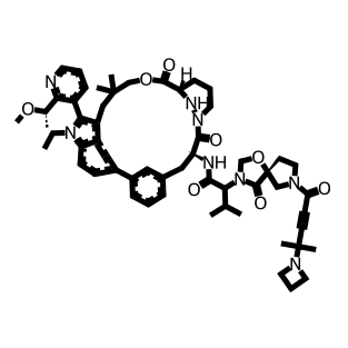 CCn1c(-c2cccnc2[C@H](C)OC)c2c3cc(ccc31)-c1cccc(c1)C[C@H](NC(=O)C(C(C)C)N1CO[C@@]3(CCN(C(=O)C#CC(C)(C)N4CCC4)C3)C1=O)C(=O)N1CCC[C@H](N1)C(=O)OCC(C)(C)C2